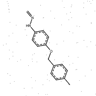 C=NNc1ccc(OCc2ccc(C)cc2)cc1